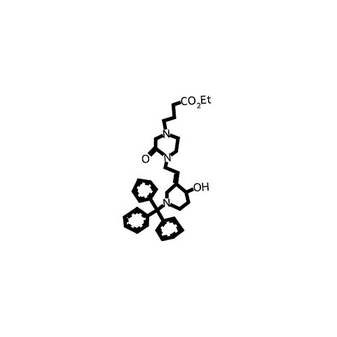 CCOC(=O)CCCN1CCN(C/C=C2\CN(C(c3ccccc3)(c3ccccc3)c3ccccc3)CCC2O)C(=O)C1